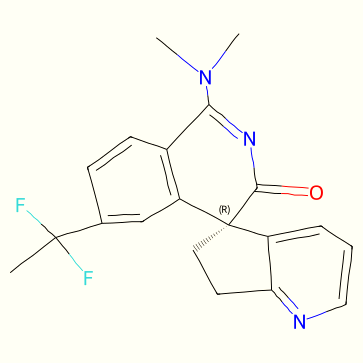 CN(C)C1=NC(=O)[C@]2(CCc3ncccc32)c2cc(C(C)(F)F)ccc21